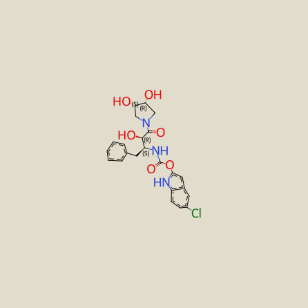 O=C(N[C@@H](Cc1ccccc1)[C@@H](O)C(=O)N1C[C@@H](O)[C@@H](O)C1)Oc1cc2cc(Cl)ccc2[nH]1